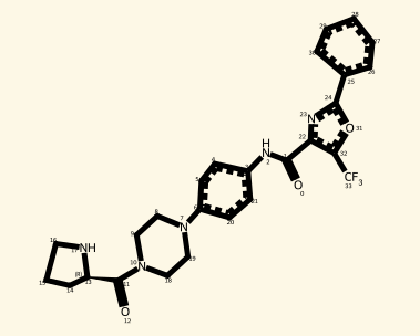 O=C(Nc1ccc(N2CCN(C(=O)[C@H]3CCCN3)CC2)cc1)c1nc(-c2ccccc2)oc1C(F)(F)F